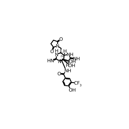 N=C1N[C@H]2[C@H](CN3C(=O)CCC3=O)NC(=N)N3CC(NC(=O)c4ccc(O)c(C(F)(F)F)c4)C(O)(O)C23N1